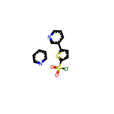 O=S(=O)(Cl)c1ccc(-c2cccnc2)s1.c1ccncc1